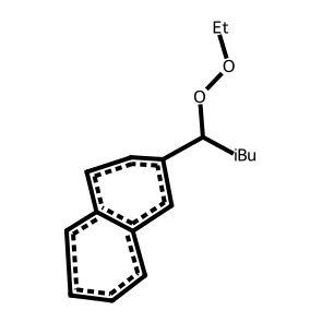 CCOOC(c1ccc2ccccc2c1)C(C)CC